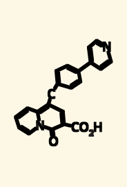 O=C(O)c1cc(Cc2ccc(-c3ccncc3)cc2)c2ccccn2c1=O